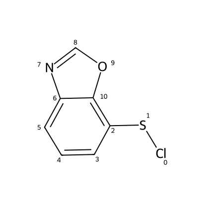 ClSc1cccc2ncoc12